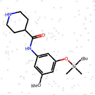 COc1cc(NC(=O)C2CCNCC2)cc(O[Si](C)(C)C(C)(C)C)c1